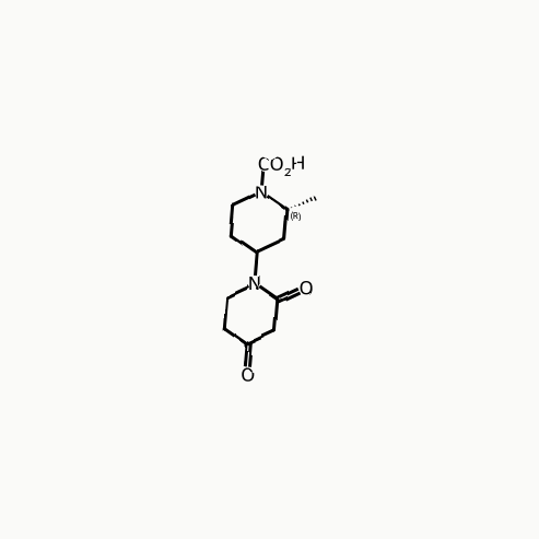 C[C@@H]1CC(N2CCC(=O)CC2=O)CCN1C(=O)O